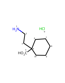 Cl.NCCC1(C(=O)O)CCCCC1